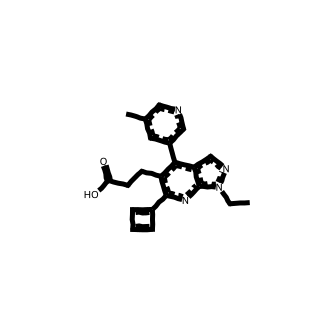 CCn1ncc2c(-c3cncc(C)c3)c(CCC(=O)O)c(C3=CC=C3)nc21